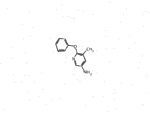 Cc1cc(N)cnc1Oc1ccccc1